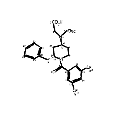 CCCCCCCCCCN(CC(=O)O)[C@H]1CCN(C(=O)c2cc(C(F)(F)F)cc(C(F)(F)F)c2)[C@H](Cc2ccccc2)C1